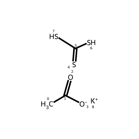 CC(=O)[O-].S=C(S)S.[K+]